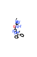 CCn1cc(NC(=O)c2cnc3nc(C(c4ccccc4)c4ccccc4)n(CC)c3c2)cn1